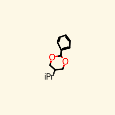 CC(C)C1COC(c2ccccc2)OC1